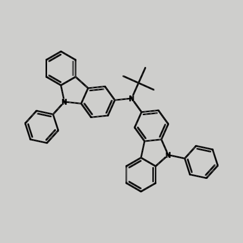 CC(C)(C)N(c1ccc2c(c1)c1ccccc1n2-c1ccccc1)c1ccc2c(c1)c1ccccc1n2-c1ccccc1